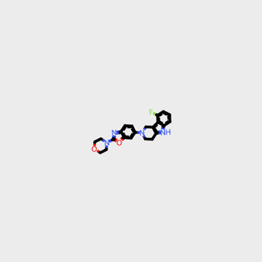 Fc1cccc2[nH]c3c(c12)CN(c1ccc2nc(N4CCOCC4)oc2c1)CC3